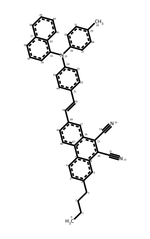 CCCCc1ccc2c(c1)c(C#N)c(C#N)c1cc(C=Cc3ccc(N(c4ccc(C)cc4)c4cccc5ccccc45)cc3)ccc12